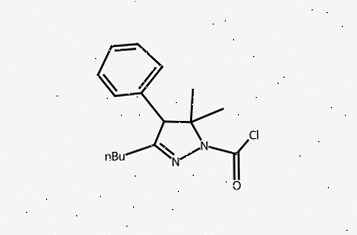 CCCCC1=NN(C(=O)Cl)C(C)(C)C1c1ccccc1